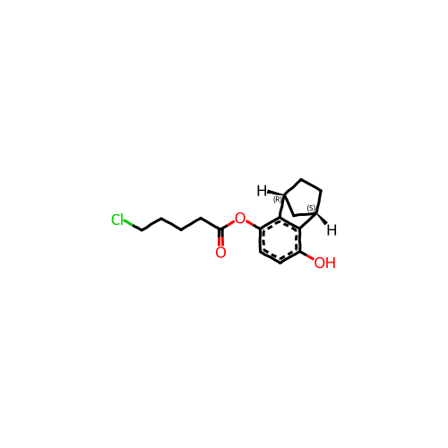 O=C(CCCCCl)Oc1ccc(O)c2c1[C@@H]1CC[C@H]2C1